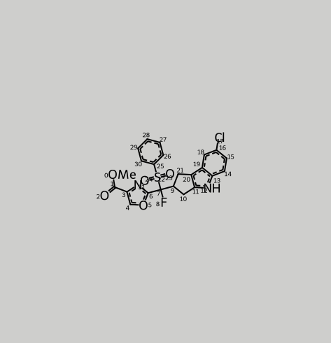 COC(=O)c1coc(C(F)(C2Cc3[nH]c4ccc(Cl)cc4c3C2)S(=O)(=O)c2ccccc2)n1